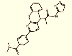 CC(C(=O)Nc1nncs1)C1c2ccccc2Oc2nc(-c3ccc(C(=O)N(C)C)cc3)ccc21